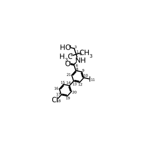 CC(C)(CO)NC(=O)c1cc(I)cc(-c2ccc(Cl)cc2)c1